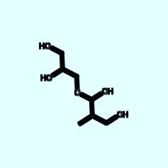 CC(CO)C(O)OCC(O)CO